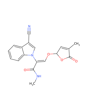 CNC(=O)/C(=C/OC1C=C(C)C(=O)O1)n1cc(C#N)c2ccccc21